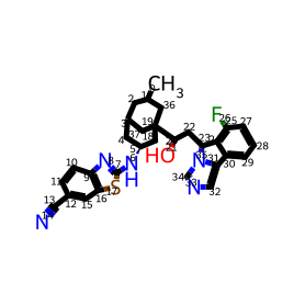 CC1CC2C[C@@H](Nc3nc4ccc(C#N)cc4s3)CC(C(O)CC3c4c(F)cccc4-c4cncn43)(C1)C2